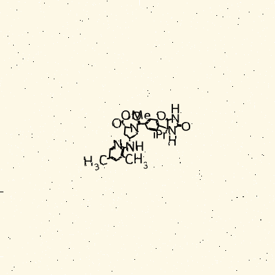 COC(=O)[C@@H]1C[C@H](Nc2ncc(C)cc2C)CN1C(=O)c1ccc([C@@]2(C(C)C)NC(=O)NC2=O)cc1